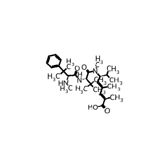 CN[C@H](C(=O)N[C@H](C(=O)N(C)[C@H](/C=C(C)/C=C(\C)C(=O)O)C(C)C)C(C)(C)C)C(C)(C)c1ccccc1